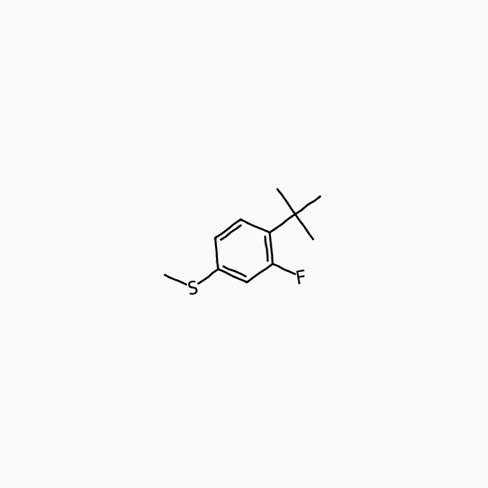 CSc1ccc(C(C)(C)C)c(F)c1